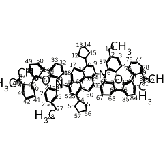 CCc1cccc(N(c2cc(C3CCCC3)c3ccc4c(N(c5cccc(CC)c5)c5cccc6c5oc5c(-c7ccccc7C(C)C)cccc56)cc(C5CCCC5)c5ccc2c3c54)c2cccc3c2oc2c(-c4ccccc4C(C)C)cccc23)c1